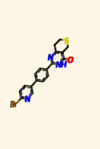 O=c1[nH]c(-c2ccc(-c3ccc(Br)nc3)cc2)nc2c1CSCC2